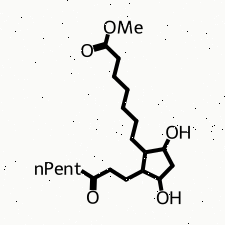 CCCCCC(=O)CCC1C(O)CC(O)C1CCCCCCC(=O)OC